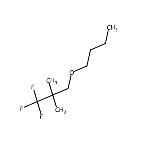 CCCCOCC(C)(C)C(F)(F)F